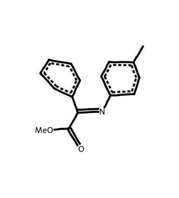 COC(=O)C(=Nc1ccc(C)cc1)c1ccccc1